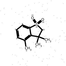 Cc1[c]ccc2c1C(C)(C)CS2(=O)=O